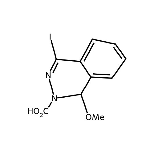 COC1c2ccccc2C(I)=NN1C(=O)O